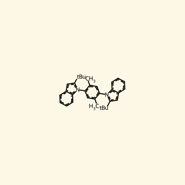 Cc1cc(-n2c(C(C)(C)C)cc3ccccc32)c(C)cc1-n1c(C(C)(C)C)cc2ccccc21